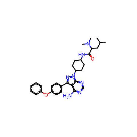 CC(C)CC(C(=O)NC1CCC(n2nc(-c3ccc(Oc4ccccc4)cc3)c3c(N)ncnc32)CC1)N(C)C